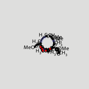 C/C=C1/C(=O)N2CCCC[C@H]2C(=O)O[C@H]([C@H](C)C[C@@H]2CC[C@@H](OP(C)(C)=O)[C@H](OC)C2)CC(=O)[C@H](C)/C=C(\C)[C@@H](OC)[C@@H](OC)C(=O)[C@H](C)C[C@H](C)/C=C/C=C/C=C(\C)[C@@H](OCCOCCOC)C[C@@H]2CC[C@@H](C)[C@@]1(OO)O2